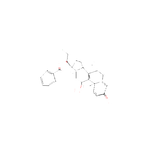 C[C@]12C=CC(=O)C=C1CCC1=C2C(O)C[C@@]2(C)[C@H]1CC[C@]2(OC(=O)c1ccccc1)C(=O)CCl